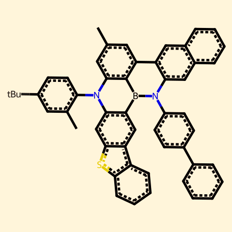 Cc1cc2c3c(c1)N(c1ccc(C(C)(C)C)cc1C)c1cc4sc5ccccc5c4cc1B3N(c1ccc(-c3ccccc3)cc1)c1cc3ccccc3cc1-2